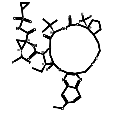 CC[C@@H]1[C@@H]2CN(C(=O)[C@H](C(C)(C)C)NC(=O)O[C@@]3(C(F)(F)F)CCCC3CCCCCc3nc4ccc(OC)cc4nc3O2)[C@@H]1C(=O)N[C@]1(C(=O)NS(=O)(=O)C2CC2)C[C@H]1C(F)F